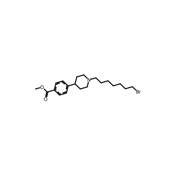 COC(=O)c1ccc(C2CCN(CCCCCCCBr)CC2)cc1